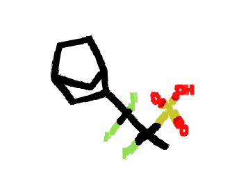 CC(F)(C(F)(F)C1CC2CCC1C2)S(=O)(=O)O